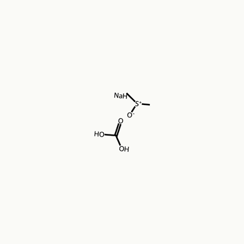 C[S+](C)[O-].O=C(O)O.[NaH]